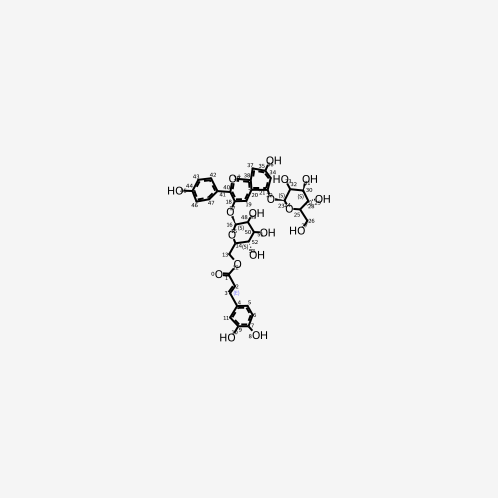 O=C(/C=C/c1ccc(O)c(O)c1)OCC1O[C@@H](Oc2cc3c(O[C@@H]4OC(CO)[C@@H](O)[C@H](O)C4O)cc(O)cc3[o+]c2-c2ccc(O)cc2)C(O)C(O)[C@@H]1O